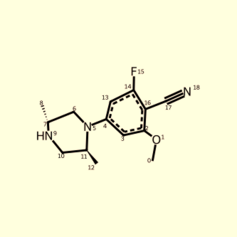 COc1cc(N2C[C@@H](C)NC[C@@H]2C)cc(F)c1C#N